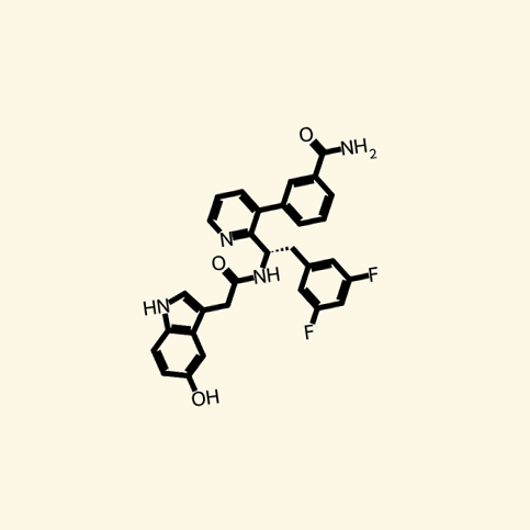 NC(=O)c1cccc(-c2cccnc2[C@H](Cc2cc(F)cc(F)c2)NC(=O)Cc2c[nH]c3ccc(O)cc23)c1